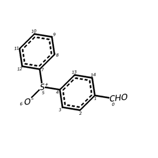 O=Cc1ccc([S+]([O-])c2ccccc2)cc1